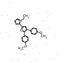 CCn1cccc1-c1cc(-c2ccc(OC)cc2)c(-c2ccc(OC)cc2)o1